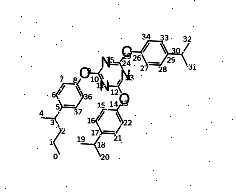 CCCC(C)c1ccc(Oc2nc(Oc3ccc(C(C)C)cc3)nc(Oc3ccc(C(C)C)cc3)n2)cc1